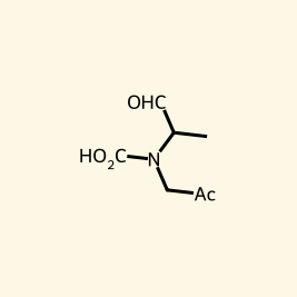 CC(=O)CN(C(=O)O)C(C)C=O